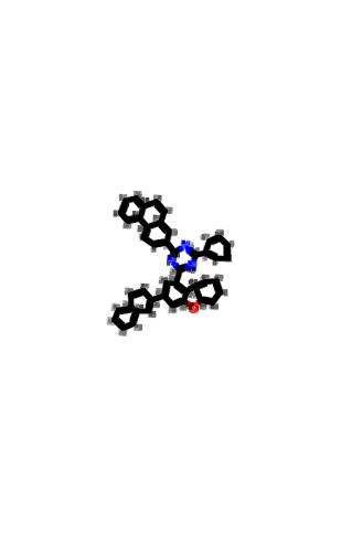 c1ccc(-c2nc(-c3ccc4c(ccc5ccccc54)c3)nc(-c3cc(-c4ccc5ccccc5c4)cc4oc5ccccc5c34)n2)cc1